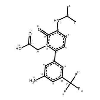 CC(C)Nc1ncc(-c2cc(N)cc(C(F)(F)F)c2)n(CC(=O)O)c1=O